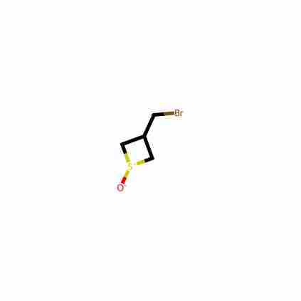 [O-][S+]1CC([CH]Br)C1